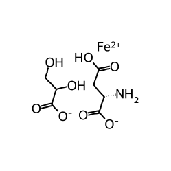 N[C@@H](CC(=O)O)C(=O)[O-].O=C([O-])C(O)CO.[Fe+2]